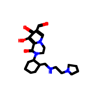 O=Cc1cn2c(c(O)c1=O)C(=O)N(C1CCCCC1CNCCN1CCCC1)CC2